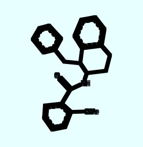 COc1ccccc1C(=O)NC1CCc2ccccc2C1Cc1ccccc1